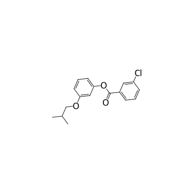 CC(C)COc1cccc(OC(=O)c2cccc(Cl)c2)c1